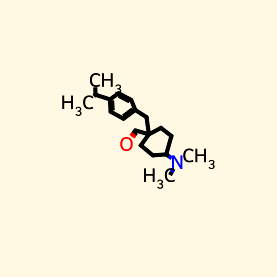 CC(C)c1ccc(CC2(C=O)CCC(N(C)C)CC2)cc1